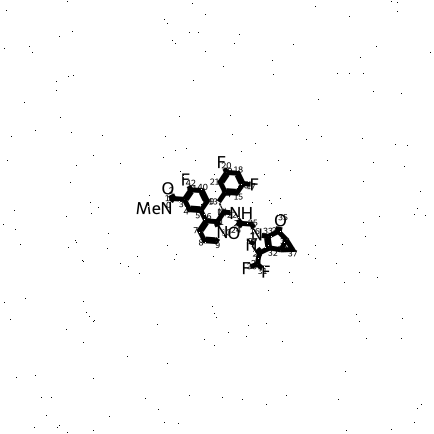 CNC(=O)c1cc(-c2cccnc2[C@H](Cc2cc(F)cc(F)c2)NC(=O)Cn2nc(C(F)F)c3c2C(=O)C2CC32)ccc1F